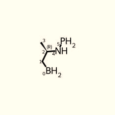 BC[C@@H](C)NP